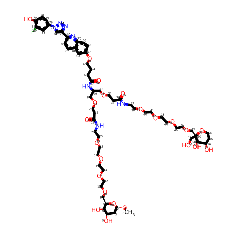 CO[C@@H]1C[C@@H](O)[C@@H](O)[C@@H](COCCOCCOCCOCCNC(=O)CCOCC(COCCC(=O)NCCOCCOCCOCCOC[C@@]2(CO)OCC[C@@H](O)[C@H]2O)NC(=O)CCCOc2ccc3nc(-c4cn(-c5ccc(O)c(F)c5)nn4)ccc3c2)O1